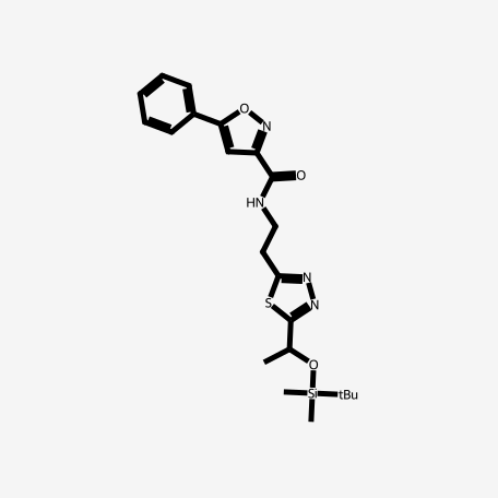 CC(O[Si](C)(C)C(C)(C)C)c1nnc(CCNC(=O)c2cc(-c3ccccc3)on2)s1